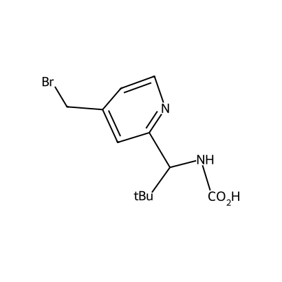 CC(C)(C)C(NC(=O)O)c1cc(CBr)ccn1